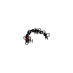 N#Cc1ccc(O[C@H]2CC[C@H](NC(=O)c3cnc(N4CCC(CN5CCN(c6ccc7c(c6)C(=O)N(C6CCC(=O)NC6=O)C7=O)CC5)CC4)cn3)CC2)cc1Cl